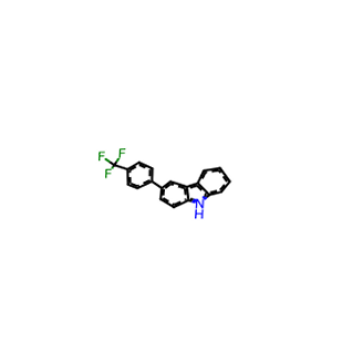 FC(F)(F)c1ccc(-c2ccc3[nH]c4ccccc4c3c2)cc1